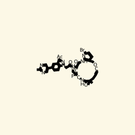 CC(=O)c1nn(CC(=O)N2C[C@@]3(F)CNC(=O)C(C)(C)CC=CCOCc4ccc(Br)nc4NC(=O)[C@@H]2C3)c2ccc(-c3cnc(C)nc3)cc12